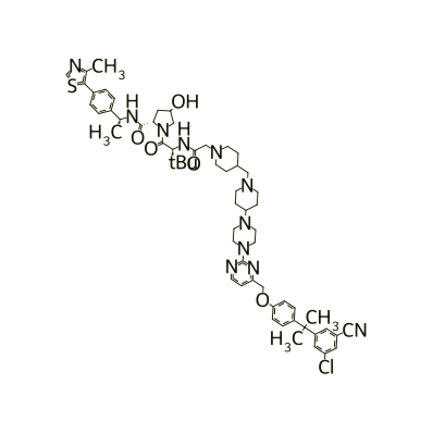 Cc1ncsc1-c1ccc([C@H](C)NC(=O)[C@@H]2C[C@@H](O)CN2C(=O)[C@@H](NC(=O)CN2CCC(CN3CCC(N4CCN(c5nccc(COc6ccc(C(C)(C)c7cc(Cl)cc(C#N)c7)cc6)n5)CC4)CC3)CC2)C(C)(C)C)cc1